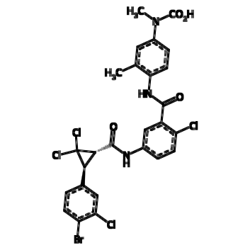 Cc1cc(N(C)C(=O)O)ccc1NC(=O)c1cc(NC(=O)[C@@H]2[C@@H](c3ccc(Br)c(Cl)c3)C2(Cl)Cl)ccc1Cl